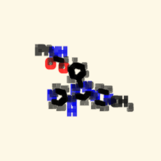 CC(C)NC(=O)COc1cccc(-c2nc(Nc3ccncc3)cc(N3CCN(C)CC3)n2)c1